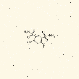 COc1cc(N)c(S(N)(=O)=O)cc1S(N)(=O)=O